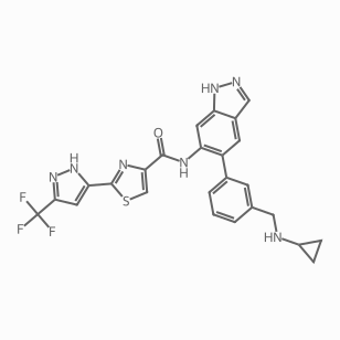 O=C(Nc1cc2[nH]ncc2cc1-c1cccc(CNC2CC2)c1)c1csc(-c2cc(C(F)(F)F)n[nH]2)n1